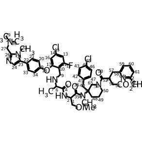 COCC(NC(=O)C(C)NCc1c(F)cc(Cl)cc1Oc1ccc(-c2cnc(CN(C)C)n2C)cc1)C(=O)N(C)C1(Cc2ccc(Cl)cc2)CCCN(C(=O)C(CC(=O)O)Cc2cccc(C)n2)C1